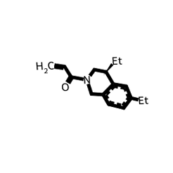 C=CC(=O)N1Cc2ccc(CC)cc2[C@H](CC)C1